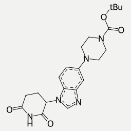 CC(C)(C)OC(=O)N1CCN(c2ccc3c(c2)ncn3C2CCC(=O)NC2=O)CC1